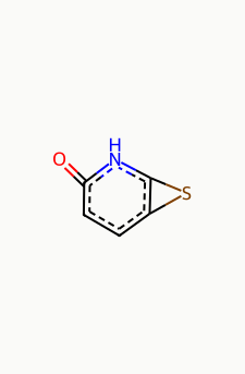 O=c1ccc2c([nH]1)S2